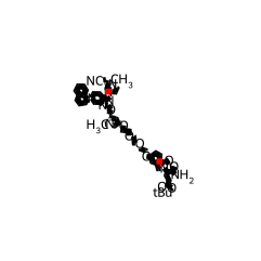 CN1CCN(c2nc(OC[C@@H]3C[C@@H](OCCOCCOCCOc4ccc5c(c4)CN(C(CCC(=O)OC(C)(C)C)C(N)=O)C5=O)CN3C)nc3c2CCN(c2cccc4ccccc24)C3)C[C@@H]1CC#N